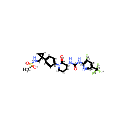 CS(=O)(=O)NCC1(c2ccc(N3CCC[C@@H](NC(=O)Nc4ncc(C(F)(F)F)cc4F)C3=O)cc2)CC1